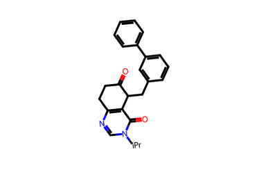 CC(C)n1cnc2c(c1=O)C(Cc1cccc(-c3ccccc3)c1)C(=O)CC2